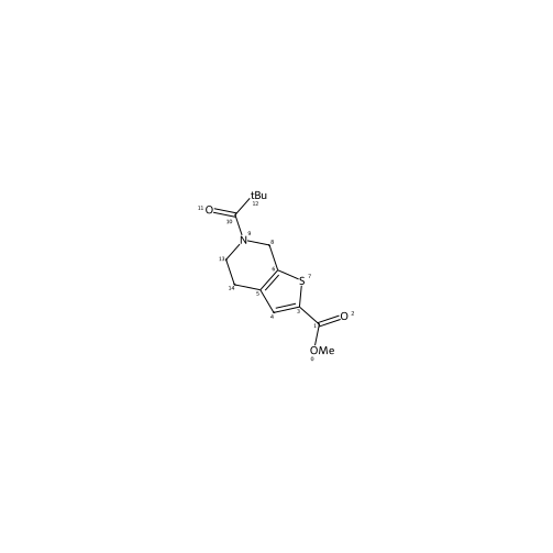 COC(=O)c1cc2c(s1)CN(C(=O)C(C)(C)C)CC2